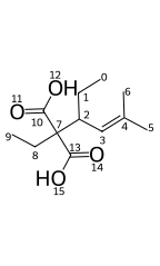 CCC(C=C(C)C)C(CC)(C(=O)O)C(=O)O